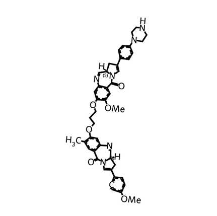 COc1ccc(C2=CN3C(=O)c4cc(C)c(OCCCOc5cc6c(cc5OC)C(=O)N5C=C(c7ccc(N8CCNCC8)cc7)C[C@H]5C=N6)cc4N=C[C@@H]3C2)cc1